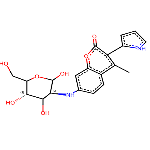 Cc1c(-c2ccc[nH]2)c(=O)oc2cc(N[C@@H]3C(O)OC(CO)[C@@H](O)C3O)ccc12